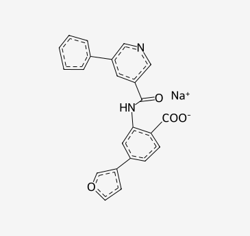 O=C(Nc1cc(-c2ccoc2)ccc1C(=O)[O-])c1cncc(-c2ccccc2)c1.[Na+]